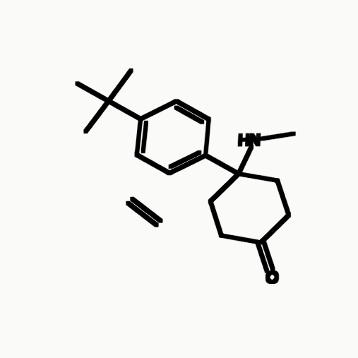 C=C.CNC1(c2ccc(C(C)(C)C)cc2)CCC(=O)CC1